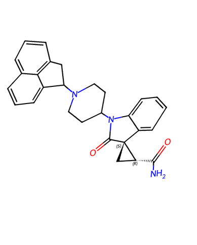 NC(=O)[C@@H]1C[C@]12C(=O)N(C1CCN(C3Cc4cccc5cccc3c45)CC1)c1ccccc12